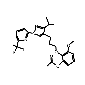 COc1cccc(OC(C)=O)c1OCCCc1cn(-c2cccc(C(F)(F)F)n2)nc1C(C)C